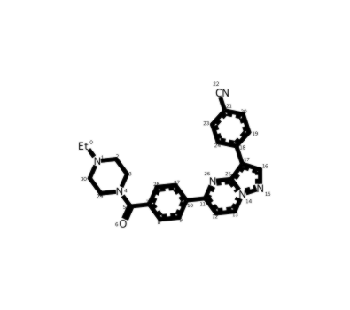 CCN1CCN(C(=O)c2ccc(-c3ccn4ncc(-c5ccc(C#N)cc5)c4n3)cc2)CC1